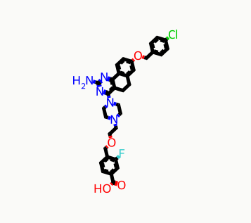 Nc1nc2c(c(N3CCN(CCOCc4ccc(C(=O)O)cc4F)CC3)n1)CCc1cc(OCc3ccc(Cl)cc3)ccc1-2